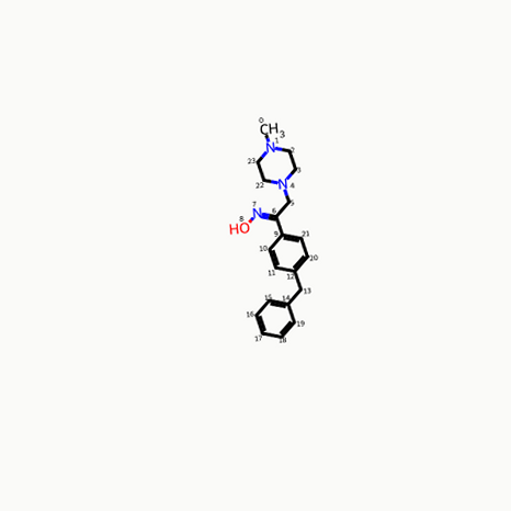 CN1CCN(CC(=NO)c2ccc(Cc3ccccc3)cc2)CC1